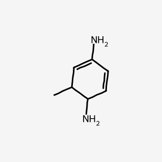 CC1C=C(N)C=CC1N